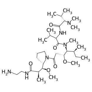 CC[C@H](C)[C@@H]([C@@H](CC(=O)N1CCC[C@H]1[C@@H](OC)[C@@H](C)C(=O)NCCN)OC)N(C)C(=O)C(NC(=O)[C@H](C(C)C)N(C)C)C(C)C